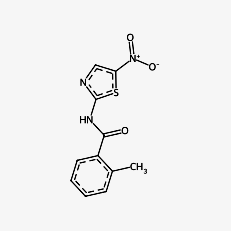 Cc1ccccc1C(=O)Nc1ncc([N+](=O)[O-])s1